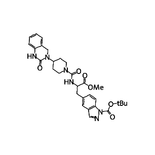 COC(=O)C(Cc1ccc2c(cnn2C(=O)OC(C)(C)C)c1)NC(=O)N1CCC(N2Cc3ccccc3NC2=O)CC1